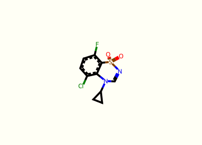 O=S1(=O)N=CN(C2CC2)c2c(Cl)ccc(F)c21